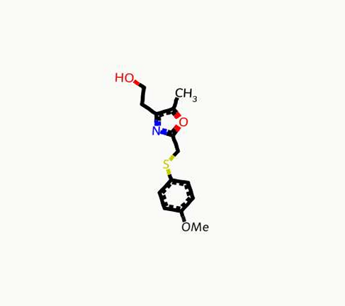 COc1ccc(SCc2nc(CCO)c(C)o2)cc1